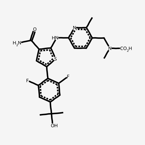 Cc1nc(Nc2sc(-c3c(F)cc(C(C)(C)O)cc3F)cc2C(N)=O)ccc1CN(C)C(=O)O